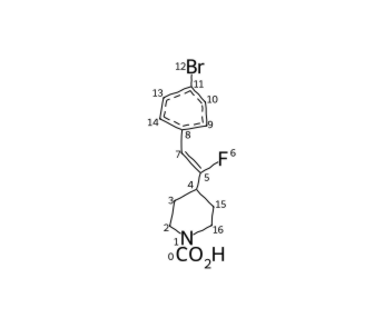 O=C(O)N1CCC(/C(F)=C/c2ccc(Br)cc2)CC1